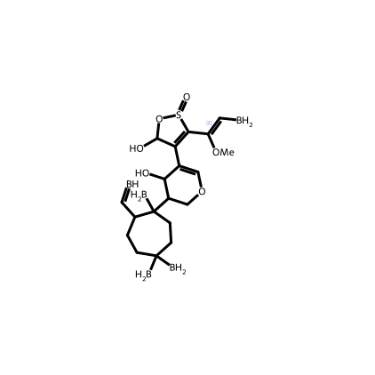 B=CC1CCC(B)(B)CCC1(B)C1COC=C(C2=C(/C(=C/B)OC)S(=O)OC2O)C1O